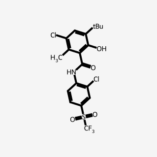 Cc1c(Cl)cc(C(C)(C)C)c(O)c1C(=O)Nc1ccc(S(=O)(=O)C(F)(F)F)cc1Cl